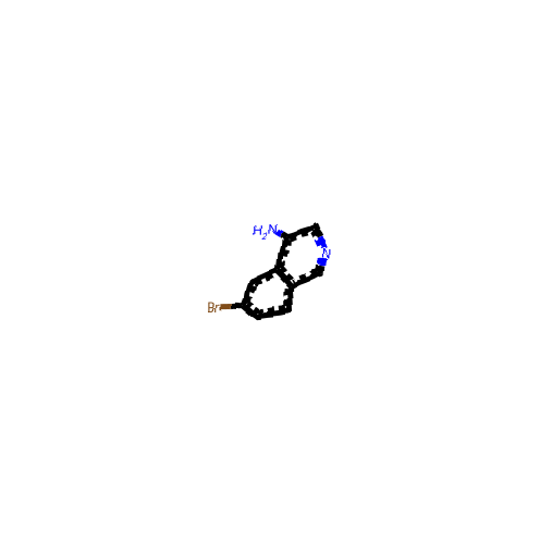 Nc1cncc2ccc(Br)cc12